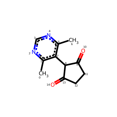 Cc1ncnc(C)c1C1C(=O)CCC1=O